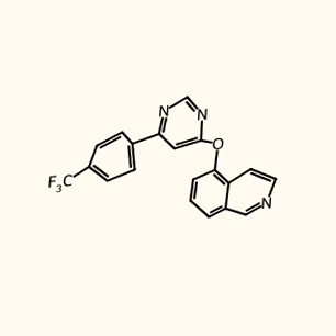 FC(F)(F)c1ccc(-c2cc(Oc3cccc4cnccc34)ncn2)cc1